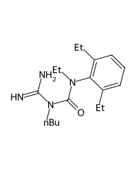 CCCCN(C(=N)N)C(=O)N(CC)c1c(CC)cccc1CC